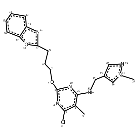 Cc1c(Cl)nc(OCCCc2nc3ccccc3o2)nc1NCc1cnn(C)c1